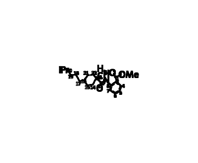 COC(=O)c1ccccc1NC(=O)C1(C)CCC(CCCC(C)C)CC1